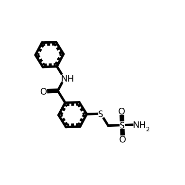 NS(=O)(=O)CSc1cccc(C(=O)Nc2ccccc2)c1